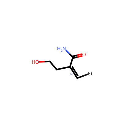 CC/C=C(/CCO)C(N)=O